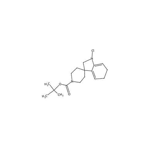 CC(C)(C)OC(=O)N1CCC2(CC1)CN(Cl)C1=CCCC=C12